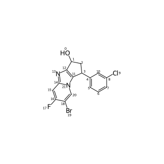 OC1CC(c2cccc(Cl)c2)c2c1nc1cc(F)c(Br)cn21